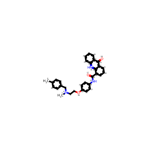 Cc1ccc(CN(C)CCOc2ccc(NC(=O)c3cccc4c(=O)c5ccccc5[nH]c34)cc2)cc1